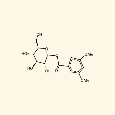 COc1cc(OC)cc(C(=O)O[C@@H]2O[C@H](CO)[C@@H](O)[C@H](O)[C@H]2O)c1